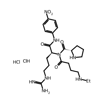 CCNCCCC(=O)N(C(=O)[C@@H]1CCCN1)[C@@H](CCCNC(=N)N)C(=O)Nc1ccc([N+](=O)[O-])cc1.Cl.Cl